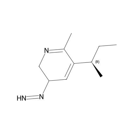 CC[C@@H](C)C1=CC(N=N)CN=C1C